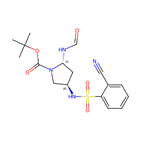 CC(C)(C)OC(=O)N1C[C@H](NS(=O)(=O)c2ccccc2C#N)C[C@H]1NC=O